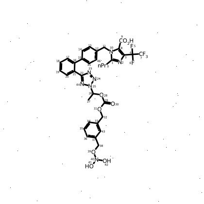 CCCc1nc(C(F)(F)C(F)(F)F)c(C(=O)O)n1Cc1ccc(-c2ccccc2-c2nnn(C(C)OC(=O)OCc3cccc(CON(O)O)c3)n2)cc1